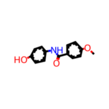 COc1ccc(C(=O)Nc2ccc(O)cc2)cc1